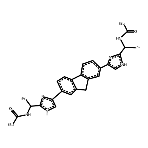 CC(C)C(NC(=O)C(C)(C)C)c1nc(-c2ccc3c(c2)Cc2cc(-c4c[nH]c(C(NC(=O)C(C)(C)C)C(C)C)n4)ccc2-3)c[nH]1